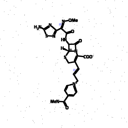 CNC(=O)c1cc[n+](C/C=C/C2=C(C(=O)[O-])N3C(=O)C(NC(=O)/C(=N\OC)c4nsc(N)n4)[C@H]3SC2)cc1